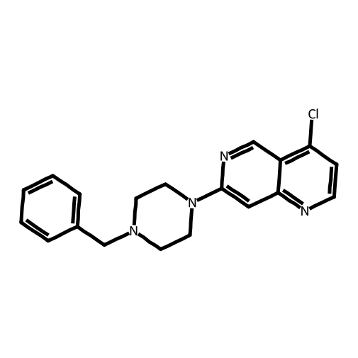 Clc1ccnc2cc(N3CCN(Cc4ccccc4)CC3)ncc12